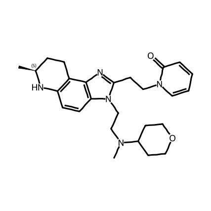 C[C@H]1CCc2c(ccc3c2nc(CCn2ccccc2=O)n3CCN(C)C2CCOCC2)N1